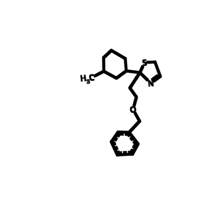 CC1CCCC(C2(CCOCc3ccccc3)N=CCS2)C1